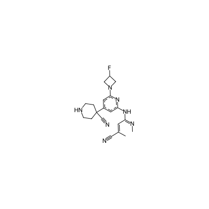 C/N=C(\C=C(/C)C#N)Nc1cc(C2(C#N)CCNCC2)cc(N2CC(F)C2)n1